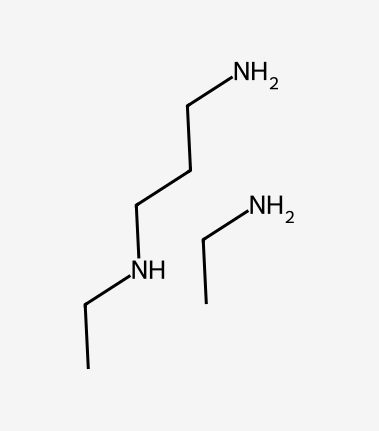 CCN.CCNCCCN